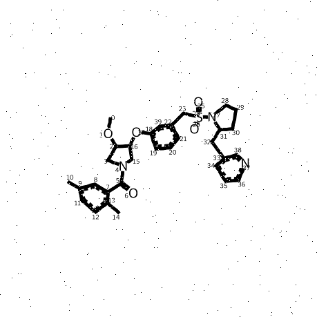 COC1CN(C(=O)c2cc(C)ccc2C)CC1Oc1cccc(CS(=O)(=O)N2CCCC2Cc2cccnc2)c1